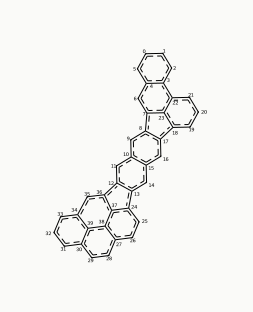 c1ccc2c(c1)cc1c3cc4cc5c(cc4cc3c3cccc2c31)c1ccc2ccc3cccc4cc5c1c2c34